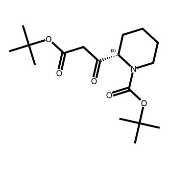 CC(C)(C)OC(=O)CC(=O)[C@@H]1CCCCN1C(=O)OC(C)(C)C